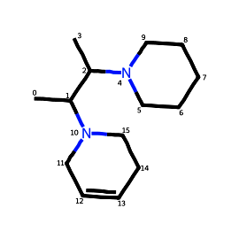 CC(C(C)N1CCCCC1)N1CC=CCC1